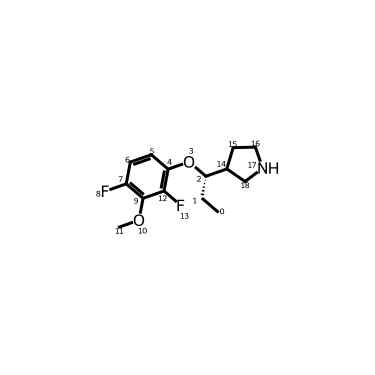 CC[C@H](Oc1ccc(F)c(OC)c1F)C1CCNC1